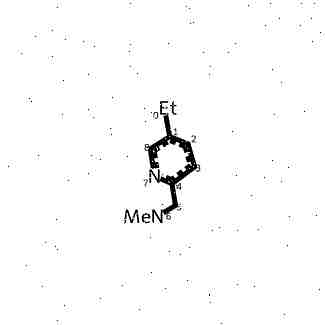 CCc1ccc(CNC)nc1